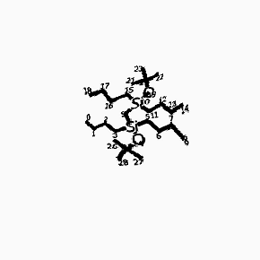 CCCC[Si](CCCC)(C[Si](CCCC)(CCCC)OC(C)(C)C)OC(C)(C)C